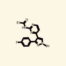 CCC(=O)Nc1nccc(-c2cn(C(C)C)nc2-c2ccc(F)cc2)n1